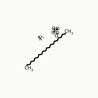 CCCCCCCCCCCCCCCCCC(CCCC)OOP(=O)([O-])[O-].[K+].[K+]